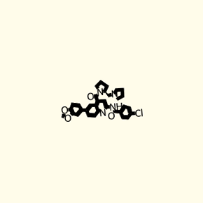 O=C(Nc1cc(C(=O)N2CCC[C@H]2CN2CCCC2)c2cc(-c3ccc4c(c3)OCO4)ccc2n1)c1ccc(Cl)cc1